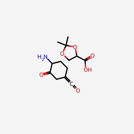 CC1(C)OCC(C(=O)O)O1.NC1CCC(=C=O)CC1=O